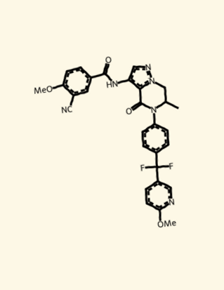 COc1ccc(C(F)(F)c2ccc(N3C(=O)c4c(NC(=O)c5ccc(OC)c(C#N)c5)cnn4CC3C)cc2)cn1